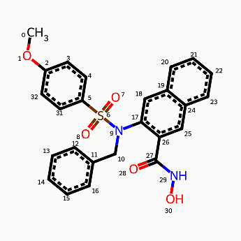 COc1ccc(S(=O)(=O)N(Cc2ccccc2)c2cc3ccccc3cc2C(=O)NO)cc1